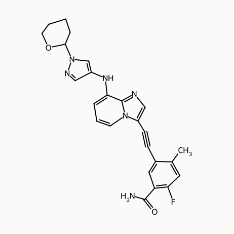 Cc1cc(F)c(C(N)=O)cc1C#Cc1cnc2c(Nc3cnn(C4CCCCO4)c3)cccn12